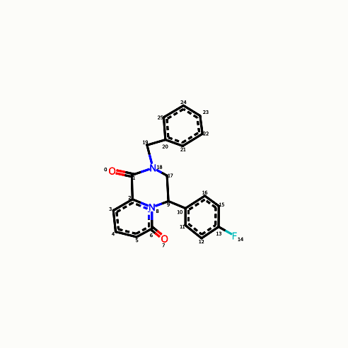 O=C1c2cccc(=O)n2C(c2ccc(F)cc2)CN1Cc1ccccc1